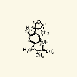 C=C(Nc1ccc(F)c([C@]2(C)COC[C@H]2C)c1)[C@H](C)OC